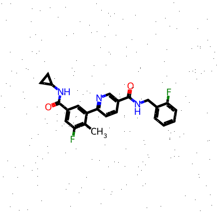 Cc1c(F)cc(C(=O)NC2CC2)cc1-c1ccc(C(=O)NCc2ccccc2F)cn1